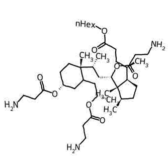 CCCCCCOC(=O)CC[C@@H](C)[C@H]1CC[C@@H](C)[C@]1(C)[C@H](C[C@@H](C)[C@@]1(C)CC[C@@H](OC(=O)CCN)CC1C[C@H](C)OC(=O)CCN)OC(=O)CCN